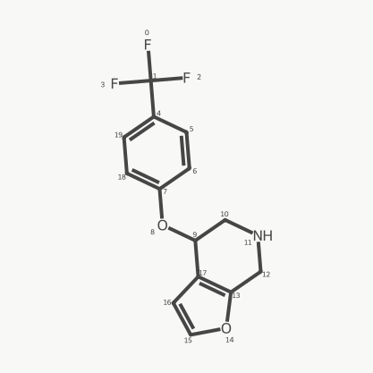 FC(F)(F)c1ccc(OC2CNCc3occc32)cc1